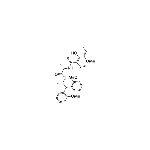 C=N/C(C(=S)N[C@@H](C)C(=O)O[C@@H](C)C(c1ccccc1OC)c1ccccc1OC)=C(O)\C(=C/C)OC